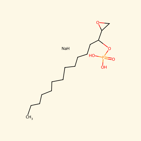 CCCCCCCCCCCCC(OP(=O)(O)O)C1CO1.[NaH]